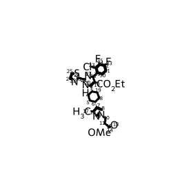 CCOC(=O)C1=C([C@H]2CC[C@@H](c3cn(CCC(=O)OC)nc3C)CC2)NC(c2nccs2)=NC1c1ccc(F)c(F)c1Cl